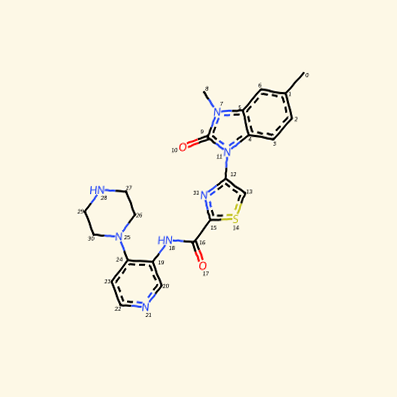 Cc1ccc2c(c1)n(C)c(=O)n2-c1csc(C(=O)Nc2cnccc2N2CCNCC2)n1